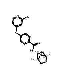 CC(=O)c1cc(Oc2ccc(C(=O)N[C@@H]3C[C@H]4CC[C@@H]3N4)cc2)ccn1